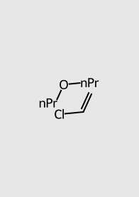 C=CCl.CCCOCCC